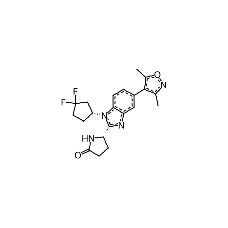 Cc1noc(C)c1-c1ccc2c(c1)nc([C@@H]1CCC(=O)N1)n2[C@@H]1CCC(F)(F)C1